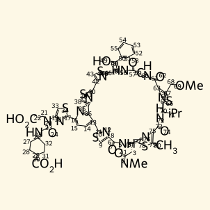 CNC(=O)C[C@@H]1NC(=O)c2csc(n2)-c2ccc(-c3nc(N(CC(=O)O)C(=O)N[C@H]4CC[C@H](C(=O)O)CC4)cs3)nc2-c2csc(n2)-c2csc(n2)[C@H]([C@@H](O)c2ccccc2)NC(=O)CNC(=O)c2nc(sc2COC)C(C(C)C)NC(=O)c2nc1sc2C